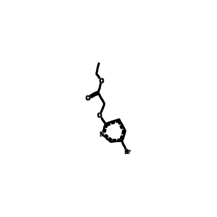 CCOC(=O)COc1ccc(Br)cn1